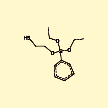 CCO[Si](OCC)(OCCS)c1ccccc1